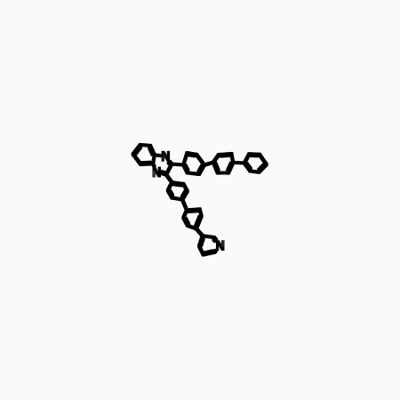 c1ccc(-c2ccc(-c3ccc(-c4nc5ccccc5nc4-c4ccc(-c5ccc(-c6cccnc6)cc5)cc4)cc3)cc2)cc1